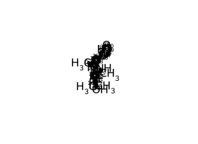 Cc1nnc(N[C@H](C)c2cccc(C(F)(F)C(C)(C)O)c2F)c2cc(N3CCN4CCOC[C@@H]4C3)ccc12